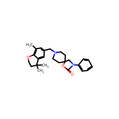 Cc1cc(CN2CCC3(CC2)CN(c2ccccc2)C(=O)O3)cc2c1OCCC2(C)C